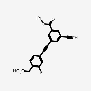 C#Cc1cc(C#Cc2ccc(CC(=O)O)c(F)c2)cc(C(=O)OC(C)C)c1